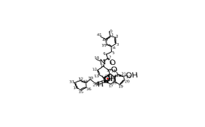 Cc1ccc(CCC(=O)N(C)C2C=C[C@@]3(O)[C@H]4Cc5ccc(O)c6c5[C@@]3(CCN4CCc3ccccc3)C2O6)cc1C